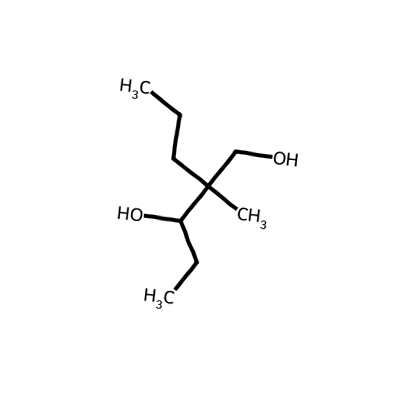 CCCC(C)(CO)C(O)CC